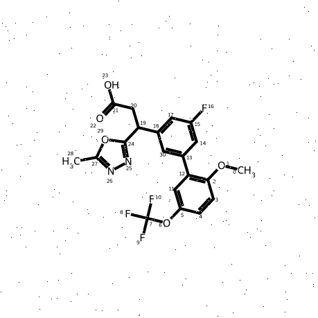 COc1ccc(OC(F)(F)F)cc1-c1cc(F)cc(C(CC(=O)O)c2nnc(C)o2)c1